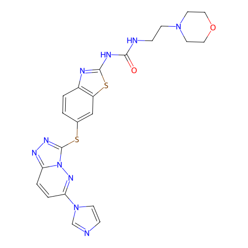 O=C(NCCN1CCOCC1)Nc1nc2ccc(Sc3nnc4ccc(-n5ccnc5)nn34)cc2s1